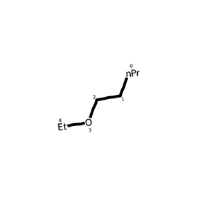 [CH2]CCCCOCC